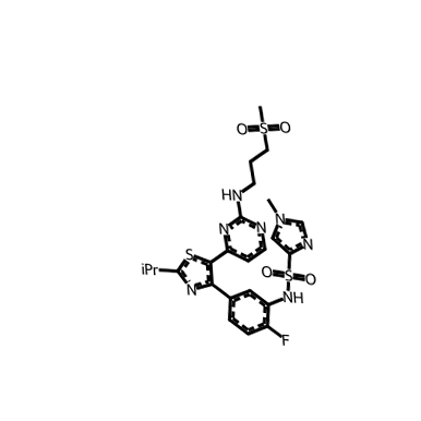 CC(C)c1nc(-c2ccc(F)c(NS(=O)(=O)c3cn(C)cn3)c2)c(-c2ccnc(NCCCS(C)(=O)=O)n2)s1